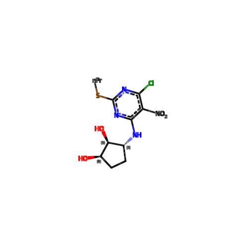 CCCSc1nc(Cl)c([N+](=O)[O-])c(N[C@@H]2CC[C@@H](O)[C@H]2O)n1